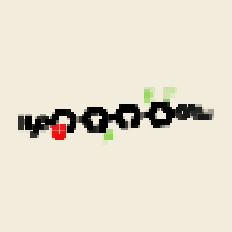 COc1ccc(-c2ccc(-c3ccc(C4CCC(C)OC4)cc3F)cc2)c(F)c1F